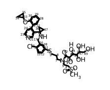 CS(=O)(=O)CCN(CCCSc1ccc(Cl)c(CNC2(c3cnccc3-c3ccccc3OC3CC3)CC2)c1)C(=O)[C@@H](O)[C@@H](O)[C@H](O)[C@@H](O)CO